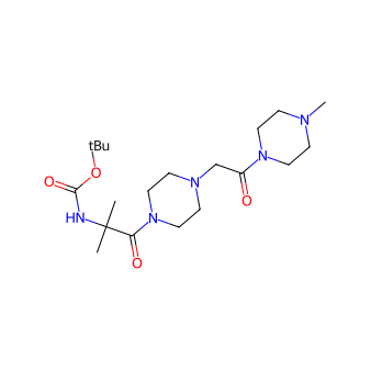 CN1CCN(C(=O)CN2CCN(C(=O)C(C)(C)NC(=O)OC(C)(C)C)CC2)CC1